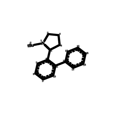 CC(C)(C)N1CCCC1c1ccccc1-c1ccccc1